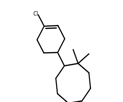 CC1(C)CCCCCCC1C1CC=C(Cl)CC1